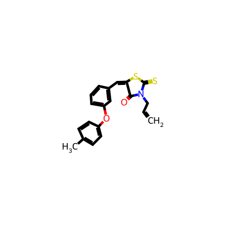 C=CCN1C(=O)/C(=C\c2cccc(Oc3ccc(C)cc3)c2)SC1=S